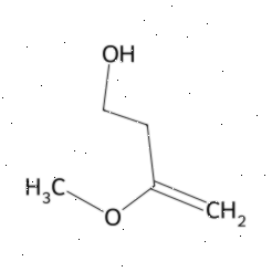 C=C(CCO)OC